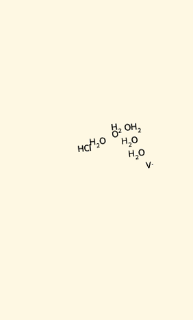 Cl.O.O.O.O.O.[V]